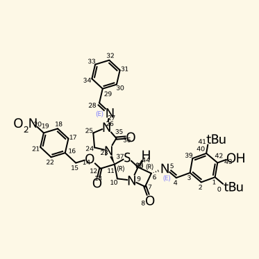 CC(C)(C)c1cc(/C=N/[C@@H]2C(=O)N3C[C@@](C(=O)OCc4ccc([N+](=O)[O-])cc4)(N4CCN(/N=C/c5ccccc5)C4=O)S[C@H]23)cc(C(C)(C)C)c1O